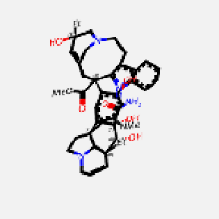 CC[C@]1(O)C=C2CN(CCc3c([nH]c4ccccc34)[C@@](C(=O)OC)(c3cc([C@]45CCN6CC=C[C@](CC)(C64)[C@@H](O)[C@](O)(C(N)=O)C5)c(NC)cc3O)C2)C1